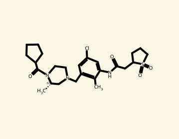 Cc1c(CN2CCN(C(=O)C3CCCC3)[C@@H](C)C2)cc(Cl)cc1NC(=O)CC1CCCS1(=O)=O